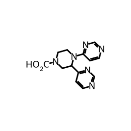 O=C(O)N1CCN(c2ccncn2)C(c2ccncn2)C1